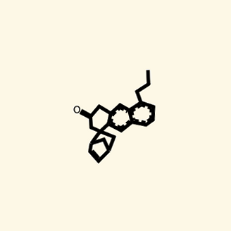 CCCc1cccc2cc3c(cc12)CC(=O)CC31CC2C=CC1C2